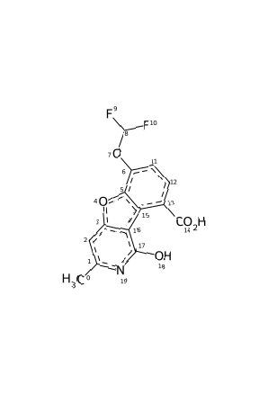 Cc1cc2oc3c(OC(F)F)ccc(C(=O)O)c3c2c(O)n1